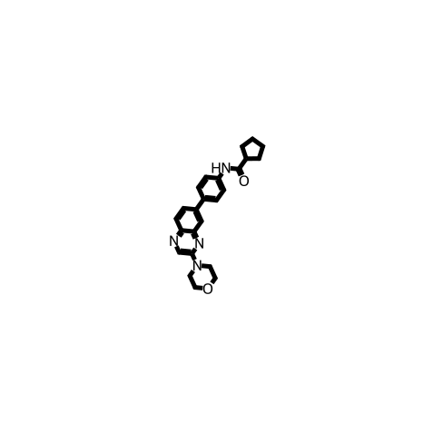 O=C(Nc1ccc(-c2ccc3ncc(N4CCOCC4)nc3c2)cc1)C1CCCC1